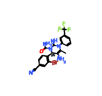 CC1=C(N)[C@@H](c2ccc(C#N)cc2Br)N(C(N)=O)C(=N)N1c1cccc(C(F)(F)F)c1